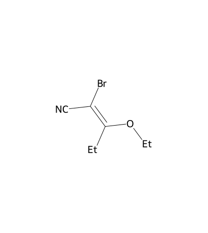 CCO/C(CC)=C(\Br)C#N